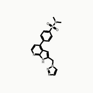 CN(C)S(=O)(=O)c1ccc(-c2ccnc3[nH]c(Cn4ccnn4)cc23)cc1